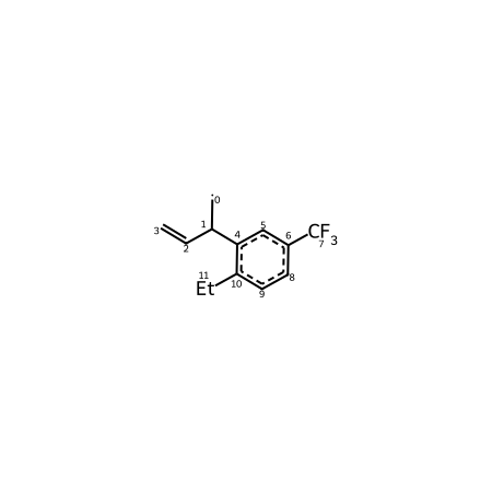 [CH2]C(C=C)c1cc(C(F)(F)F)ccc1CC